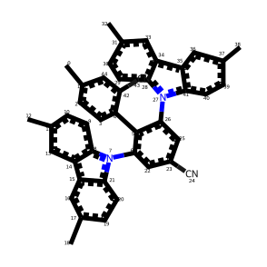 Cc1ccc(-c2c(-n3c4ccc(C)cc4c4cc(C)ccc43)cc(C#N)cc2-n2c3ccc(C)cc3c3cc(C)ccc32)c(C#N)c1